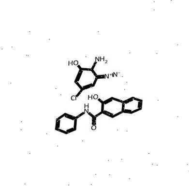 O=C(Nc1ccccc1)c1cc2ccccc2cc1O.[N-]=[N+]=C1C=C(Cl)C=C(O)C1N